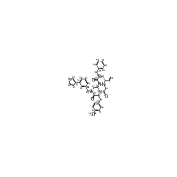 C=CCN1CC(=O)N2C(Cc3ccc(O)cc3)C(=O)N(Cc3cccc(-c4ccsc4)c3)CC2N1C(=O)NCc1ccccc1